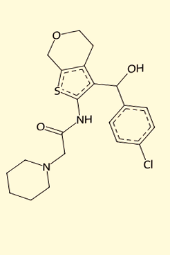 O=C(CN1CCCCC1)Nc1sc2c(c1C(O)c1ccc(Cl)cc1)CCOC2